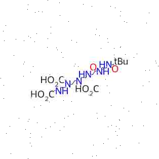 CC(C)(C)C(=O)NCCNC(=O)CNCCN(CCN(CCNCC(=O)O)CC(=O)O)CC(=O)O